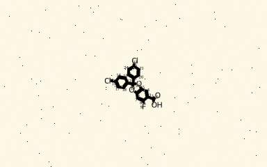 O=C(O)c1cc2c(cc1F)OC(c1ccc(Cl)cc1)(c1ccc(Cl)cc1)O2